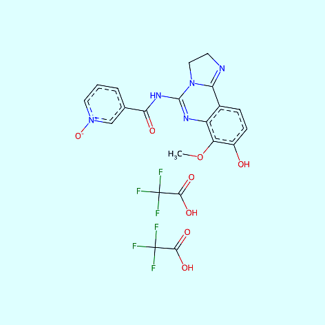 COc1c(O)ccc2c1N=C(NC(=O)c1ccc[n+]([O-])c1)N1CCN=C21.O=C(O)C(F)(F)F.O=C(O)C(F)(F)F